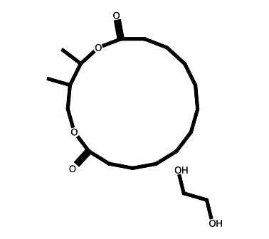 CC1COC(=O)CCCCCCCCCCC(=O)OC1C.OCCO